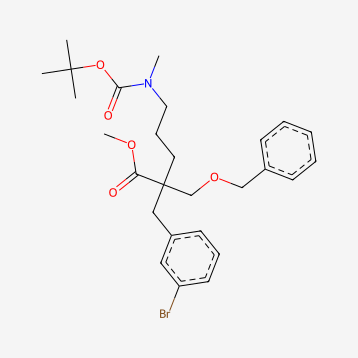 COC(=O)C(CCCN(C)C(=O)OC(C)(C)C)(COCc1ccccc1)Cc1cccc(Br)c1